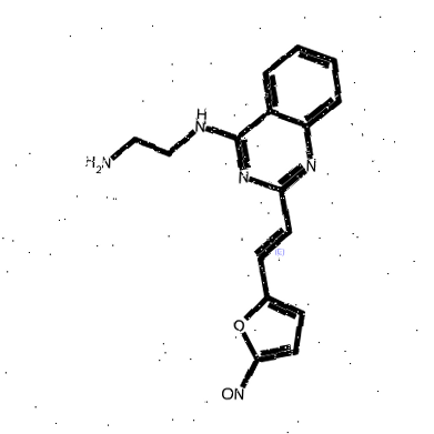 NCCNc1nc(/C=C/c2ccc(N=O)o2)nc2ccccc12